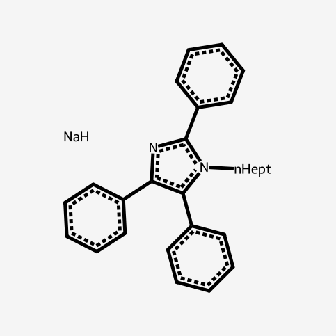 CCCCCCCn1c(-c2ccccc2)nc(-c2ccccc2)c1-c1ccccc1.[NaH]